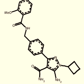 COc1ccccc1C(=O)NCc1ccc(-c2nn(C3CCC3)c(N)c2C(N)=O)cc1